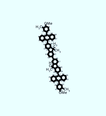 COc1ccc(-c2c3ccccc3c(-c3ccc4c(c3)C(C)(C)c3cc(-c5ccc6c(c5)C(C)(C)c5cc(-c7c8ccccc8c(-c8ccc(OC)c(C)c8)c8ccccc78)ccc5-6)ccc3-4)c3ccccc23)cc1C